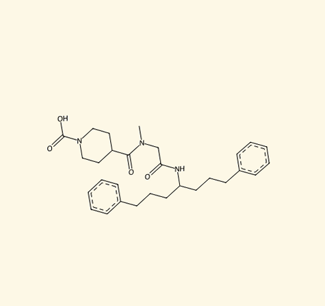 CN(CC(=O)NC(CCCc1ccccc1)CCCc1ccccc1)C(=O)C1CCN(C(=O)O)CC1